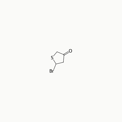 O=C1CSC(Br)C1